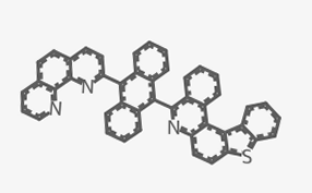 c1cnc2c(c1)ccc1ccc(-c3c4ccccc4c(-c4nc5ccc6sc7ccccc7c6c5c5ccccc45)c4ccccc34)nc12